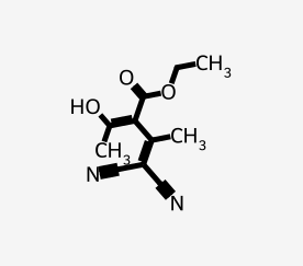 CCOC(=O)/C(C(C)=C(C#N)C#N)=C(/C)O